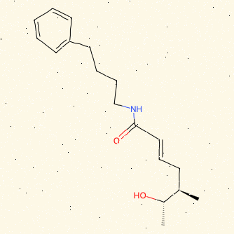 C[C@H](O)[C@H](C)C/C=C/C(=O)NCCCCc1ccccc1